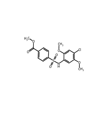 COC(=O)c1ccc(S(=O)(=O)Nc2cc(OC)c(Cl)cc2OC)cc1